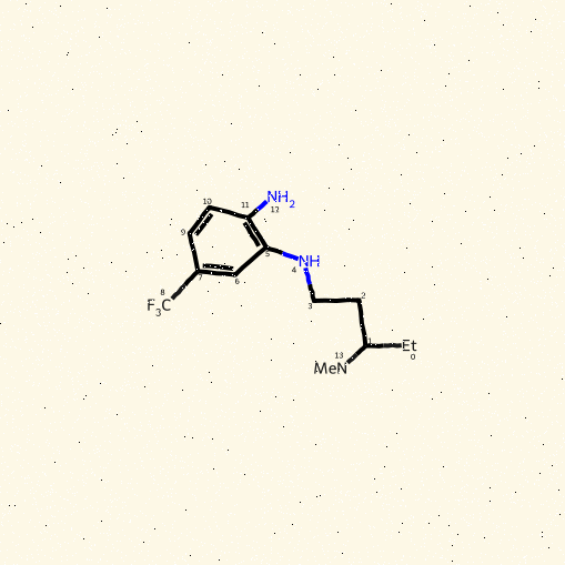 CCC(CCNc1cc(C(F)(F)F)ccc1N)NC